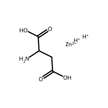 NC(CC(=O)O)C(=O)O.[H+].[H+].[Zn+2]